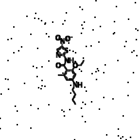 CCCCNc1cc(C)c(C(=O)Nc2ncc([N+](=O)[O-])s2)c(OCC)c1